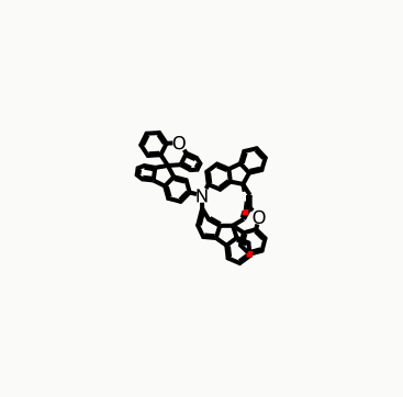 CC12c3ccccc3-c3ccc(cc31)N(c1ccc3c(c1)C1(c4ccccc4Oc4ccccc41)c1ccccc1-3)c1ccc3c(c1)C1(c4ccccc4Oc4c2cccc41)c1ccccc1-3